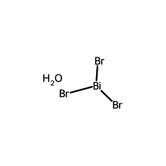 O.[Br][Bi]([Br])[Br]